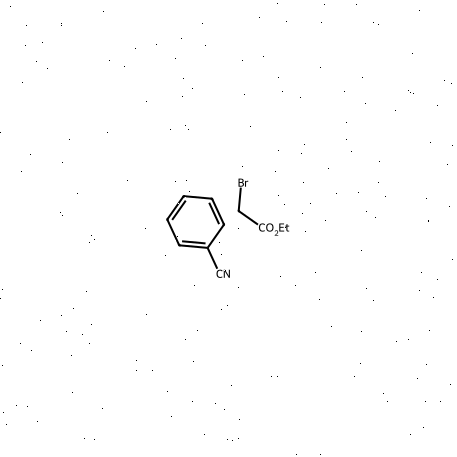 CCOC(=O)CBr.N#Cc1ccccc1